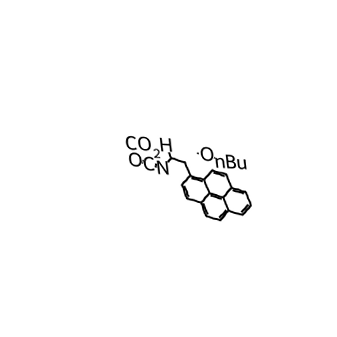 CCCC[O].O=C=NC(Cc1ccc2ccc3cccc4ccc1c2c34)C(=O)O